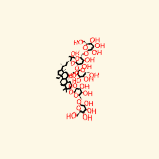 CC[C@@]12CCC([C@H](C)CC[C@@H](O[C@@H]3O[C@H](CO[C@@H]4O[C@H](CO)[C@@H](O)[C@H](O)[C@H]4O)[C@@H](O)[C@H](O)[C@H]3O[C@@H]3O[C@H](CO)[C@@H](O)[C@H](O)[C@H]3O)C(C)(C)O)[C@@]1(C)C[C@@H](OC=O)[C@@]1(C)C3CC[C@H](O[C@@H]4O[C@H](CO[C@@H]5O[C@H](CO)[C@@H](O)[C@H](O)[C@H]5O)[C@@H](O)[C@H](O)[C@H]4O)C(C)(C)C3=CCC12